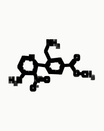 COC(=O)c1ccc(-c2nccc(N)c2[N+](=O)[O-])c(CN)c1